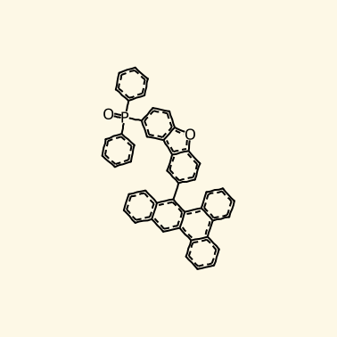 O=P(c1ccccc1)(c1ccccc1)c1ccc2oc3ccc(-c4c5ccccc5cc5c6ccccc6c6ccccc6c45)cc3c2c1